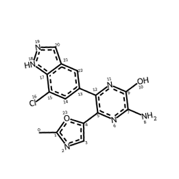 Cc1ncc(-c2nc(N)c(O)nc2-c2cc(Cl)c3[nH]ncc3c2)o1